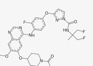 C=CC(=O)N1CCC(Oc2cc3c(Nc4ccc(Oc5ccn(C(=O)NC(C)(CF)CF)n5)cc4F)ncnc3cc2OC)CC1